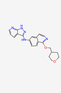 c1cnc2[nH]nc(Nc3ccc4c(OCC5CCOCC5)nccc4c3)c2c1